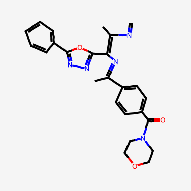 C=N/C(C)=C(\N=C(/C)c1ccc(C(=O)N2CCOCC2)cc1)c1nnc(-c2ccccc2)o1